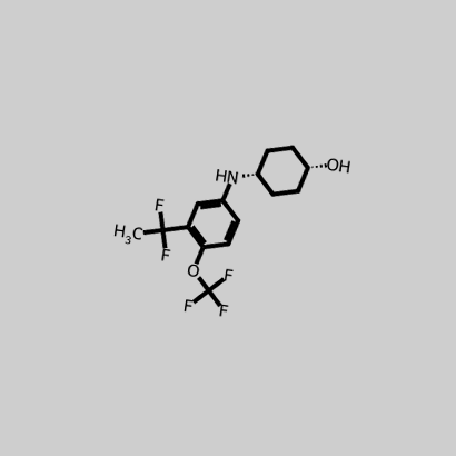 CC(F)(F)c1cc(N[C@H]2CC[C@@H](O)CC2)ccc1OC(F)(F)F